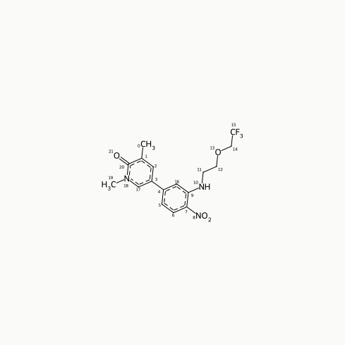 Cc1cc(-c2ccc([N+](=O)[O-])c(NCCOCC(F)(F)F)c2)cn(C)c1=O